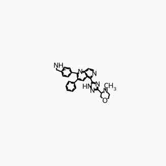 CN1CCOCC1c1n[nH]c(-c2nccc3nc(-c4ccc(CN)cc4)c(-c4ccccc4)cc23)n1